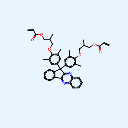 C=CC(=O)OCC(C)COc1c(C)cc(C2(c3cc(C)c(OCC(C)COC(=O)C=C)c(C)c3)c3ccccc3-c3nc4ccccc4nc32)cc1C